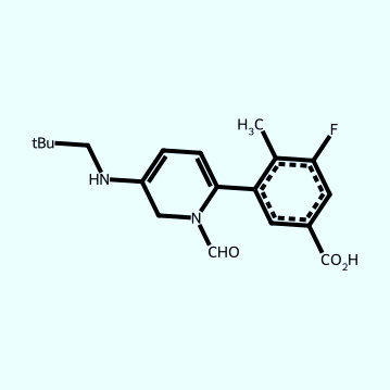 Cc1c(F)cc(C(=O)O)cc1C1=CC=C(NCC(C)(C)C)CN1C=O